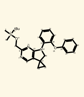 CC(C)(C)[Si](C)(C)OCc1ncc2c(n1)N(c1ccccc1Oc1ccccc1)CC21CC1